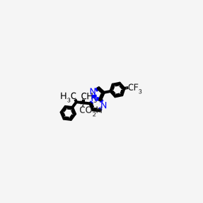 CC(c1ccccc1)[C@](C)(C(=O)O)c1ccnc2c(-c3ccc(C(F)(F)F)cc3)cnn12